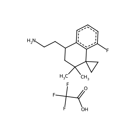 CC1(C)CC(CCN)c2cccc(F)c2C12CC2.O=C(O)C(F)(F)F